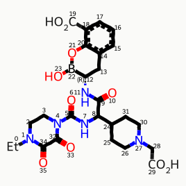 CCN1CCN(C(=O)NC(C(=O)N[C@H]2Cc3cccc(C(=O)O)c3OB2O)C2CCN(CC(=O)O)CC2)C(=O)C1=O